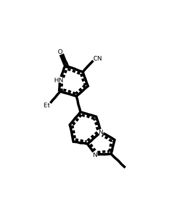 CCc1[nH]c(=O)c(C#N)cc1-c1ccc2nc(C)cn2c1